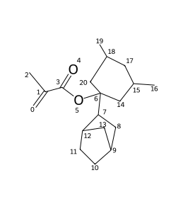 C=C(C)C(=O)OC1(C2CC3CCC2C3)CC(C)CC(C)C1